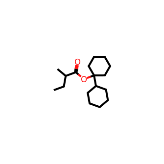 CCC(C)C(=O)OC1(C2CCCCC2)CCCCC1